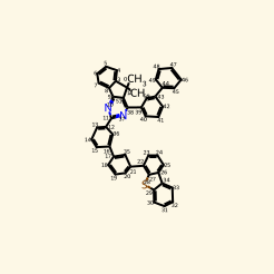 CC1(C)c2ccccc2-c2nc(-c3cccc(-c4cccc(-c5cccc6c5sc5ccccc56)c4)c3)nc(-c3cccc(-c4ccccc4)c3)c21